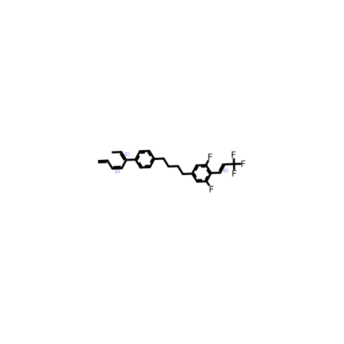 C=C/C=C\C(=C/C)c1ccc(CCCCc2cc(F)c(/C=C/C(F)(F)F)c(F)c2)cc1